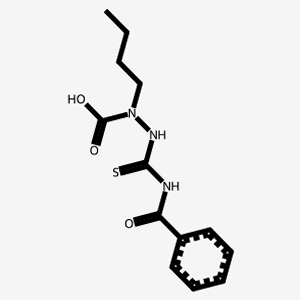 CCCCN(NC(=S)NC(=O)c1ccccc1)C(=O)O